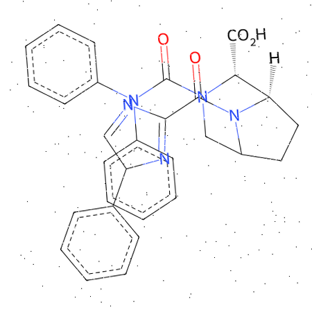 O=C(O)[C@@H]1[C@H]2CCC(CN1C(=O)N(c1ccccc1)c1ccccc1)N2C(=O)C1=NC(c2ccccc2)C=N1